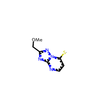 COCc1nc2nccc([S])n2n1